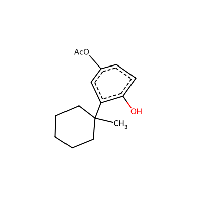 CC(=O)Oc1ccc(O)c(C2(C)CCCCC2)c1